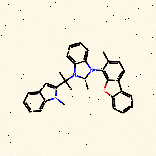 Cc1ccc2c(oc3ccccc32)c1N1c2ccccc2N(C(C)(C)c2cc3ccccc3n2C)[C@@H]1C